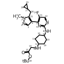 Cn1ncc(-c2nc(NC3CCC(NCC(=O)OC(C)(C)C)CC3)ncc2F)c1CC1CC1